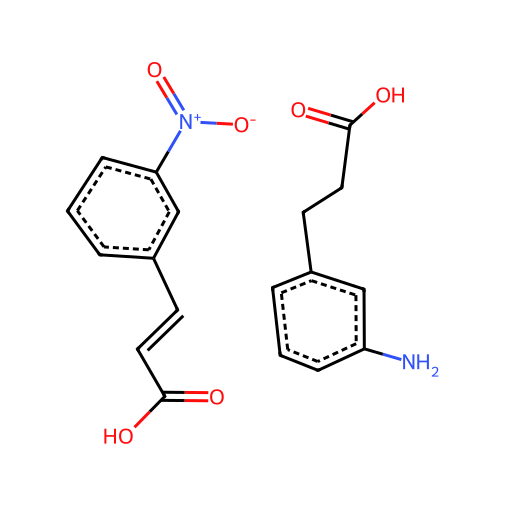 Nc1cccc(CCC(=O)O)c1.O=C(O)C=Cc1cccc([N+](=O)[O-])c1